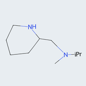 CC(C)N(C)CC1CCCCN1